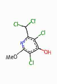 COc1nc(C(Cl)Cl)c(Cl)c(O)c1Cl